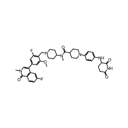 COc1cc(-c2cn(C)c(=O)c3ccc(F)cc23)cc(F)c1CN1CCC(N(C)C(=O)C2CCN(c3ccc(NC4CCC(=O)NC4=O)cc3)CC2)CC1